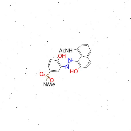 CNS(=O)(=O)c1ccc(O)c(/N=N/c2c(O)ccc3cccc(NC(C)=O)c23)c1